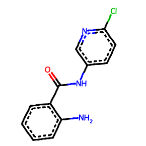 Nc1ccccc1C(=O)Nc1ccc(Cl)nc1